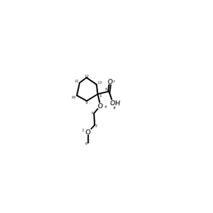 COCCOC1(C(=O)O)CCCCC1